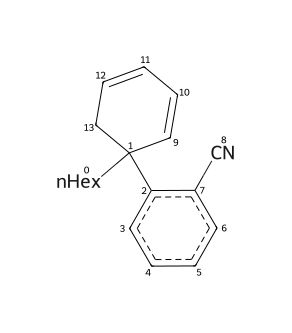 CCCCCCC1(c2ccccc2C#N)C=CC=CC1